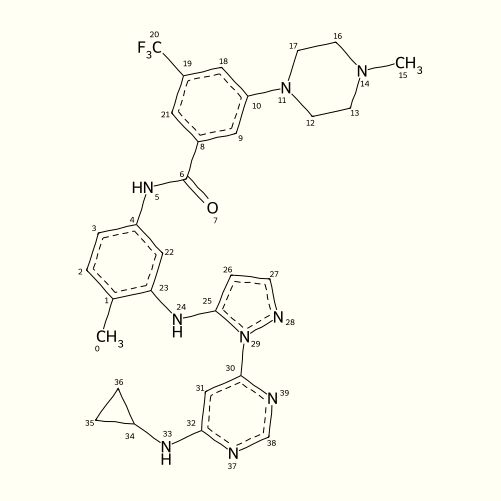 Cc1ccc(NC(=O)c2cc(N3CCN(C)CC3)cc(C(F)(F)F)c2)cc1Nc1ccnn1-c1cc(NC2CC2)ncn1